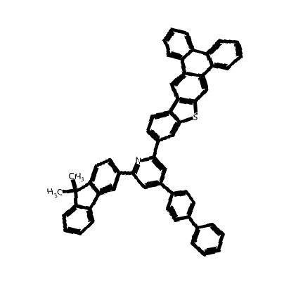 CC1(C)c2ccccc2-c2cc(-c3cc(-c4ccc(-c5ccccc5)cc4)cc(-c4ccc5c(c4)sc4cc6c7ccccc7c7ccccc7c6cc45)n3)ccc21